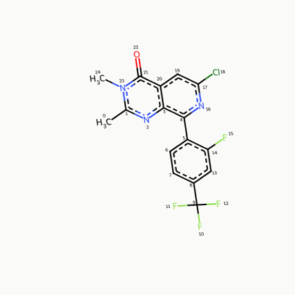 Cc1nc2c(-c3ccc(C(F)(F)F)cc3F)nc(Cl)cc2c(=O)n1C